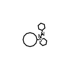 C1CCCCCC(S2(N=NC3CCCCC3)CCCCC2)CCCCC1